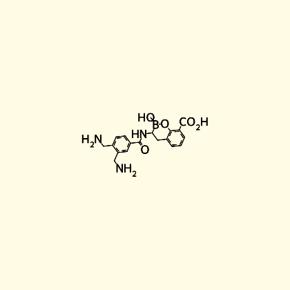 NCc1ccc(C(=O)NC2Cc3cccc(C(=O)O)c3OB2O)cc1CN